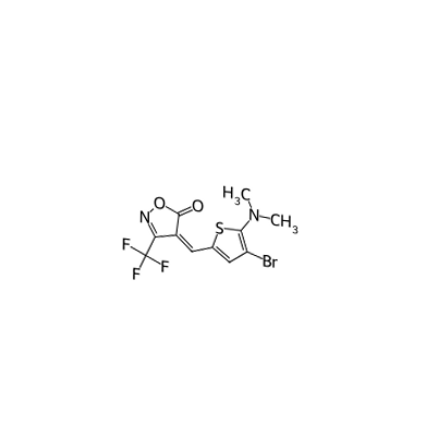 CN(C)c1sc(C=C2C(=O)ON=C2C(F)(F)F)cc1Br